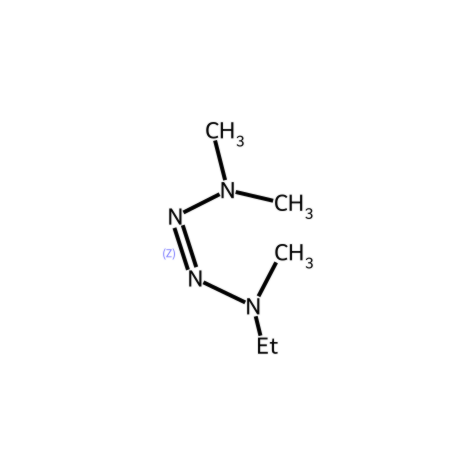 CCN(C)/N=N\N(C)C